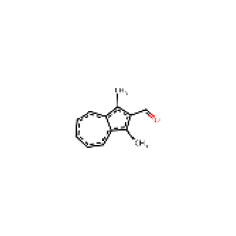 Cc1c2cccccc-2c(C)c1C=O